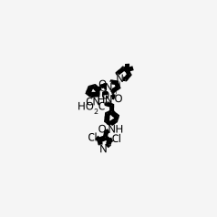 CC1(C)CCN([C@@H]2C[C@@H](C(=O)N[C@@H](Cc3ccc(NC(=O)c4c(Cl)cncc4Cl)cc3)C(=O)O)N(S(=O)(=O)c3cccc(C#N)c3)C2)CC1